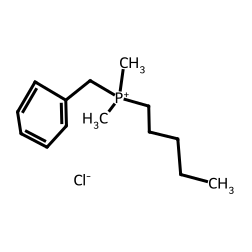 CCCCC[P+](C)(C)Cc1ccccc1.[Cl-]